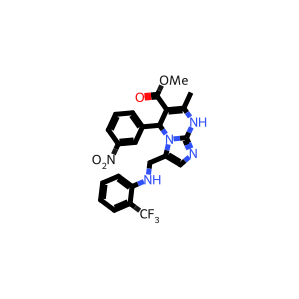 COC(=O)C1=C(C)Nc2ncc(CNc3ccccc3C(F)(F)F)n2C1c1cccc([N+](=O)[O-])c1